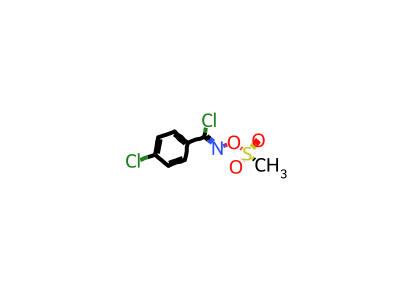 CS(=O)(=O)ON=C(Cl)c1ccc(Cl)cc1